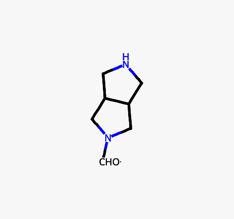 O=[C]N1CC2CNCC2C1